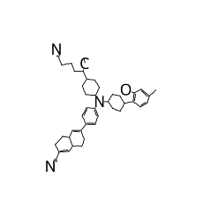 CCC(CCCC#N)C1CCC(N(c2ccc(C3=CC4CCC(C#N)=CC4CC3)cc2)C2CCC3c4ccc(C)cc4OC3C2)CC1